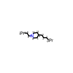 CC(C)CCCC1CCN(CCC(C)C)CC1